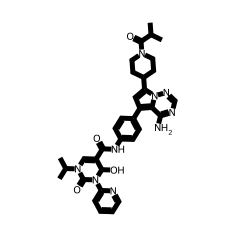 CC(C)C(=O)N1CCC(c2cc(-c3ccc(NC(=O)C4=CN(C(C)C)C(=O)N(c5ccccn5)C4O)cc3)c3c(N)ncnn23)CC1